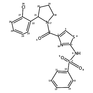 O=C(c1csc(NS(=O)(=O)c2ccccc2)n1)N1CCCC1c1ccccc1Cl